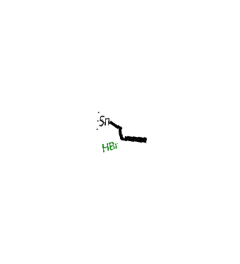 Br.C=C[CH2][Sn]